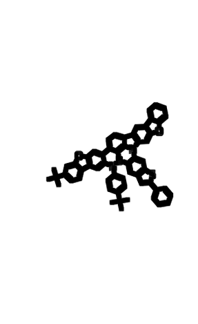 CC(C)(C)c1ccc(N2B3c4cc5cc(-c6ccccc6)sc5cc4-n4c5cc6oc7ccccc7c6cc5c5ccc(c3c54)-c3cc4oc5cc(C(C)(C)C)ccc5c4cc32)cc1